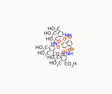 O=C(O)c1cc(NS(=O)(=O)c2cc(S(=O)(=O)Nc3cc(C(=O)O)c(C(=O)O)c(C(=O)O)c3)c3c(Br)ccc(S(=O)(=O)Nc4cc(C(=O)O)c(C(=O)O)c(C(=O)O)c4)c3c2)cc(C(=O)O)c1C(=O)O